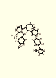 Cc1ncnc(N2CCOc3ccc(-c4ccc(-c5ncc[nH]5)cc4)cc3C2)c1Cc1ccc(F)cc1